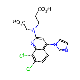 O=C(O)CCN(CC(=O)O)c1cc(-n2ccnc2)c2ccc(Cl)c(Cl)c2n1